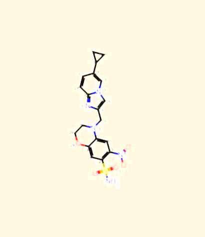 NS(=O)(=O)c1cc2c(cc1[N+](=O)[O-])N(Cc1cn3cc(C4CC4)ccc3n1)CCO2